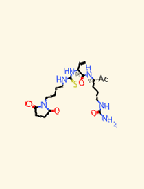 C=C[C@H](NC(=S)NCCCCN1C(=O)CCC1=O)C(=O)N[C@@H](CCCNC(N)=O)C(C)=O